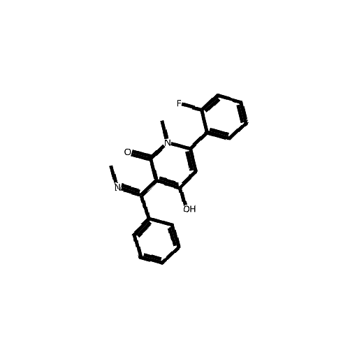 CN=C(c1ccccc1)c1c(O)cc(-c2ccccc2F)n(C)c1=O